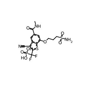 CNC(=O)c1cc(OCCCS(N)(=O)=O)c2sc(C(F)(F)P(=O)(O)O)c(C#N)c2c1